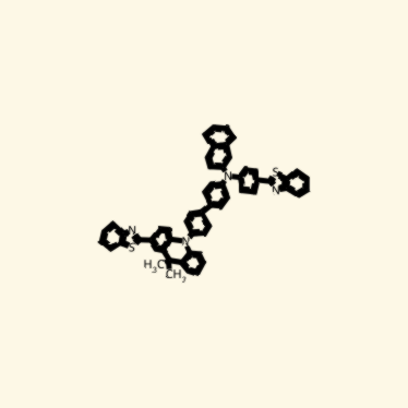 CC1(C)c2ccccc2N(c2ccc(-c3ccc(N(c4ccc(-c5nc6ccccc6s5)cc4)c4ccc5ccccc5c4)cc3)cc2)c2ccc(-c3nc4ccccc4s3)cc21